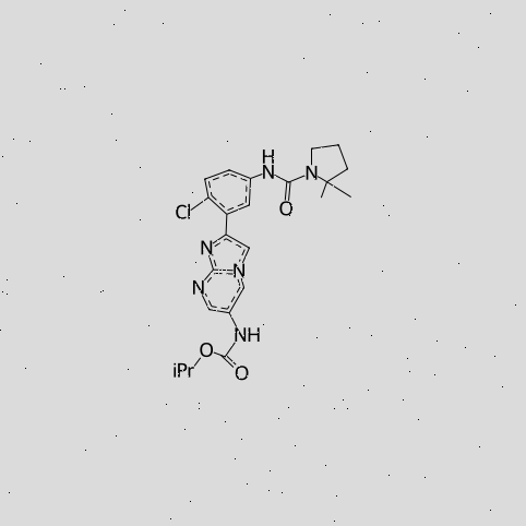 CC(C)OC(=O)Nc1cnc2nc(-c3cc(NC(=O)N4CCCC4(C)C)ccc3Cl)cn2c1